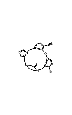 N#Cc1ccc2cc1Oc1ccc(Br)c(c1)CN1CCN(CC1=O)Cc1cncn1C2